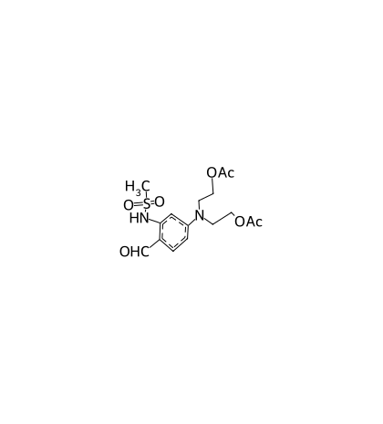 CC(=O)OCCN(CCOC(C)=O)c1ccc(C=O)c(NS(C)(=O)=O)c1